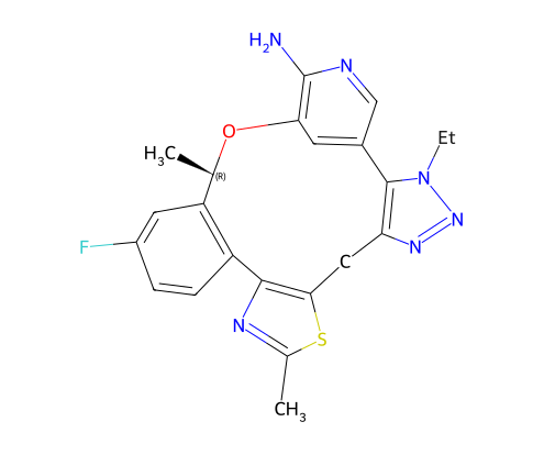 CCn1nnc2c1-c1cnc(N)c(c1)O[C@H](C)c1cc(F)ccc1-c1nc(C)sc1C2